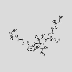 C=CC(=O)NC(C)(C=C(CCCCCOC(=O)CC(C)=O)C(=O)O)C(=O)C(C=C(CCCOC(=O)CC(C)=O)C(=O)O)C(C)=O